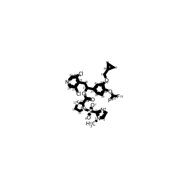 Cn1ccnc1S(=O)(=O)N1CCSC1C(=O)OC(Cc1c(Cl)cncc1Cl)c1ccc(OC(F)F)c(OCC2CC2)c1